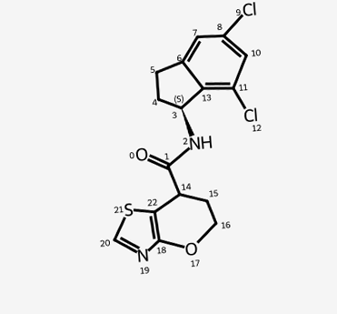 O=C(N[C@H]1CCc2cc(Cl)cc(Cl)c21)C1CCOc2ncsc21